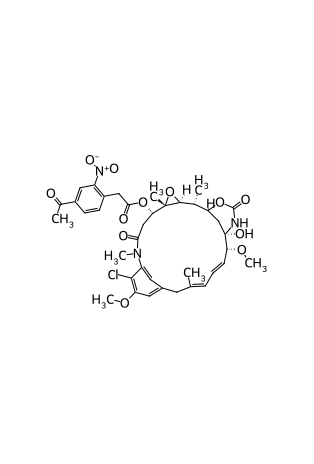 COc1cc2cc(c1Cl)N(C)C(=O)C[C@H](OC(=O)Cc1ccc(C(C)=O)cc1[N+](=O)[O-])[C@]1(C)O[C@H]1[C@H](C)[C@@H]1C[C@@](O)(NC(=O)O1)[C@H](OC)/C=C/C=C(\C)C2